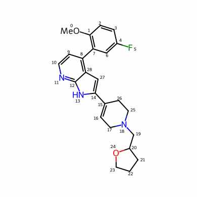 COc1ccc(F)cc1-c1ccnc2[nH]c(C3=CCN(CC4CCCO4)CC3)cc12